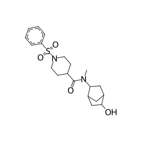 CN(C(=O)C1CCN(S(=O)(=O)c2ccccc2)CC1)C1CC2CC1CC2O